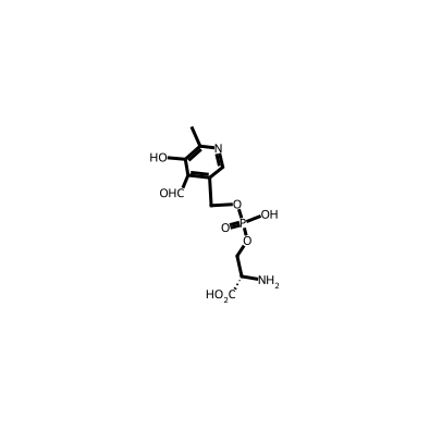 Cc1ncc(COP(=O)(O)OC[C@H](N)C(=O)O)c(C=O)c1O